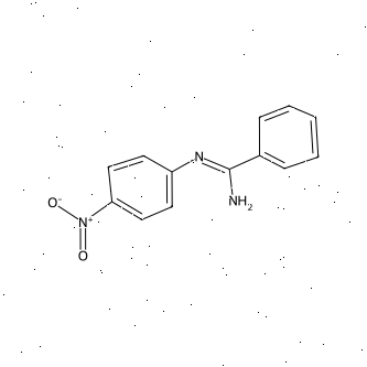 NC(=Nc1ccc([N+](=O)[O-])cc1)c1ccccc1